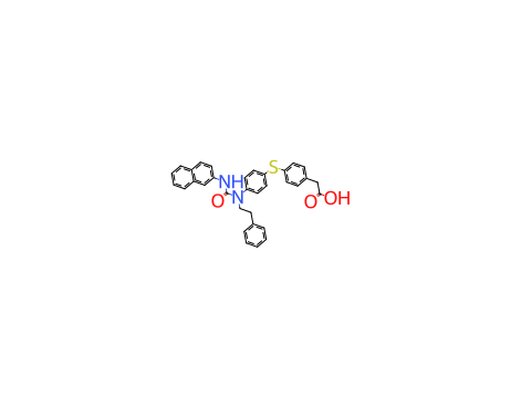 O=C(O)Cc1ccc(Sc2ccc(N(CCc3ccccc3)C(=O)Nc3ccc4ccccc4c3)cc2)cc1